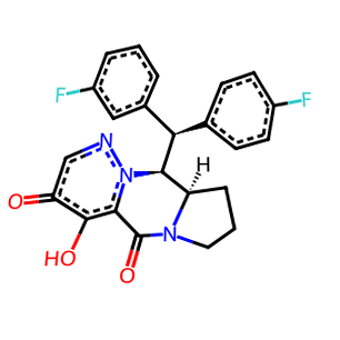 O=C1c2c(O)c(=O)cnn2[C@@H]([C@H](c2ccc(F)cc2)c2cccc(F)c2)[C@H]2CCCN12